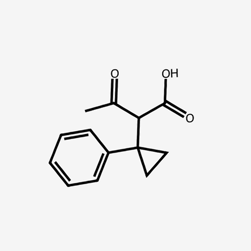 CC(=O)C(C(=O)O)C1(c2ccccc2)CC1